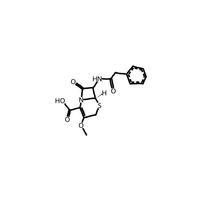 COC1=C(C(=O)O)N2C(=O)C(NC(=O)Cc3ccccc3)[C@H]2SC1